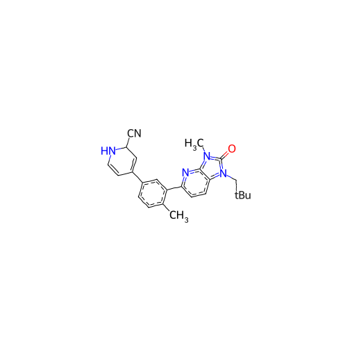 Cc1ccc(C2=CC(C#N)NC=C2)cc1-c1ccc2c(n1)n(C)c(=O)n2CC(C)(C)C